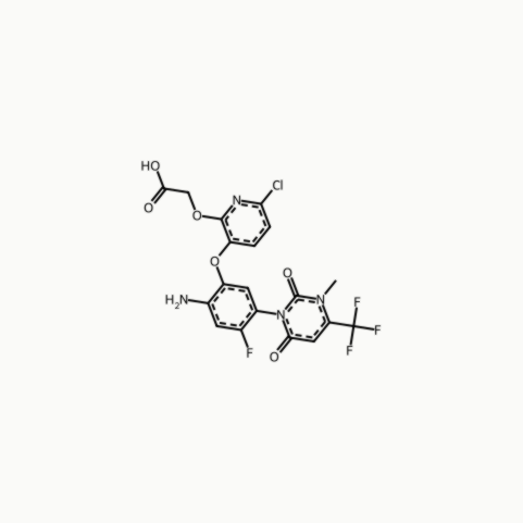 Cn1c(C(F)(F)F)cc(=O)n(-c2cc(Oc3ccc(Cl)nc3OCC(=O)O)c(N)cc2F)c1=O